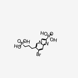 O=P(O)(O)CCCc1cn2cc(P(=O)(O)O)nc2cc1Br